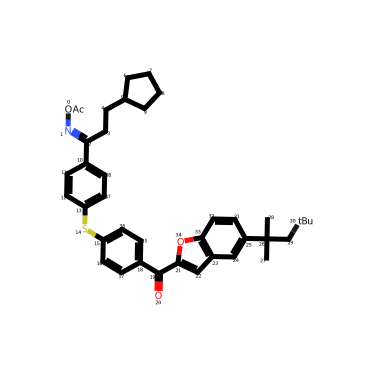 CC(=O)ON=C(CCC1CCCC1)c1ccc(Sc2ccc(C(=O)c3cc4cc(C(C)(C)CC(C)(C)C)ccc4o3)cc2)cc1